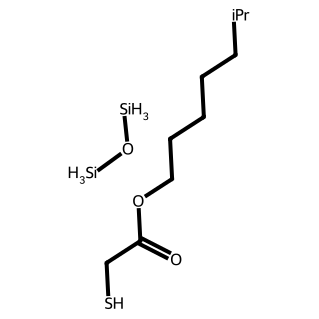 CC(C)CCCCCOC(=O)CS.[SiH3]O[SiH3]